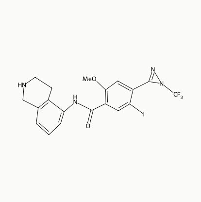 COc1cc(C2=NN2C(F)(F)F)c(I)cc1C(=O)Nc1cccc2c1CCNC2